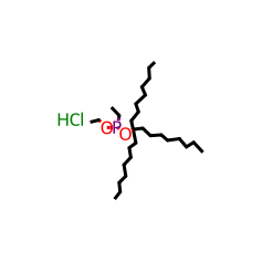 CCCCCCCCC(CCCCCCCC)(CCCCCCCC)OP(CC)OCC.Cl